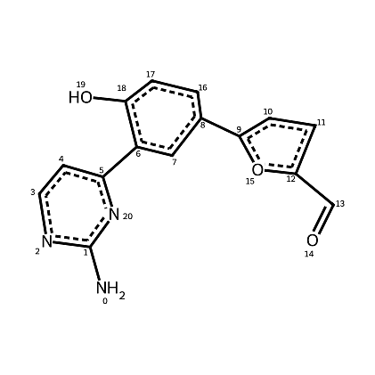 Nc1nccc(-c2cc(-c3ccc(C=O)o3)ccc2O)n1